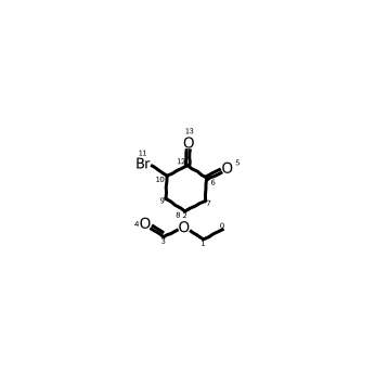 CCOC=O.O=C1CCCC(Br)C1=O